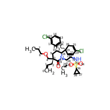 C=CC[C@@]1(COCCC)C[C@H](c2cccc(Cl)c2)[C@@H]([C@]2(C)C=CC(Cl)=CC2)N([C@@H](CC)CNS(=O)(=O)C2CC2)C1=O